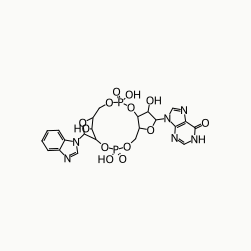 O=c1[nH]cnc2c1ncn2C1OC2COP(=O)(O)OC3C(O)C(COP(=O)(O)OC2C1O)OC3n1cnc2ccccc21